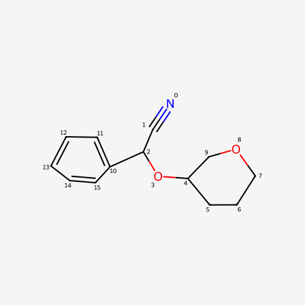 N#CC(OC1CCCOC1)c1ccccc1